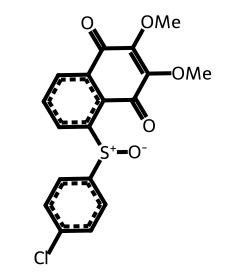 COC1=C(OC)C(=O)c2c(cccc2[S+]([O-])c2ccc(Cl)cc2)C1=O